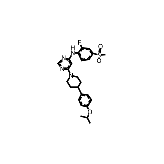 CC(C)Oc1ccc(C2CCN(c3cc(Nc4ccc(S(C)(=O)=O)cc4F)ncn3)CC2)cc1